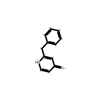 O=c1cc[nH]c(Cc2ccccc2)c1